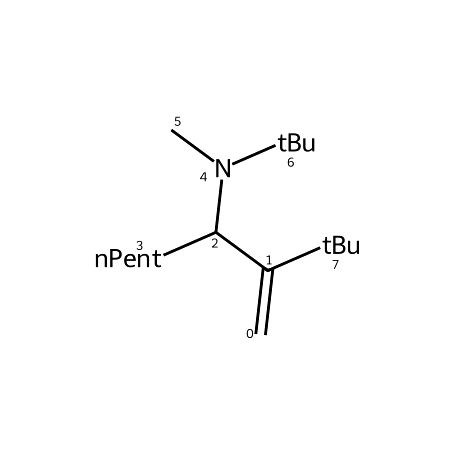 C=C(C(CCCCC)N(C)C(C)(C)C)C(C)(C)C